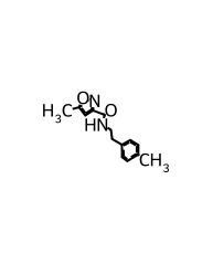 Cc1ccc(CCNC(=O)c2cc(C)on2)cc1